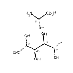 CC(C)[C@H](N)C(=O)O.C[C@H](O)[C@H](O)[C@@H](O)[C@@H](O)C=O